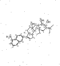 CN(C)[C@H]1C[C@@]23CC[C@]4(O2)C2CC=C(c5ccc6c(N)nccc6c5)[C@@]2(C)CCC4(O)CC3[C@@H](O)[C@@H]1O